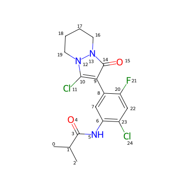 CC(C)C(=O)Nc1cc(-c2c(Cl)n3n(c2=O)CCCC3)c(F)cc1Cl